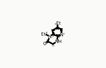 CCc1cnc2c(c1)N(CC)C(=O)CN2